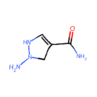 NC(=O)C1=CNN(N)C1